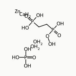 O.O.O=P(O)(O)CCP(=O)(O)OO.O=P(O)(O)O.[CaH2].[Zn]